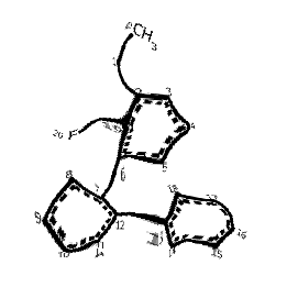 CCc1cccc(-c2ccccc2-c2ccccc2)c1F